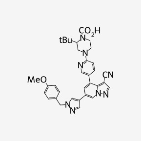 COc1ccc(Cn2cc(-c3cc(-c4ccc(N5CCN(C(=O)O)C(C(C)(C)C)C5)nc4)c4c(C#N)cnn4c3)cn2)cc1